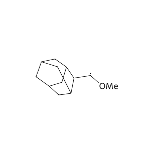 CO[CH]C1C2CC3CC(C2)CC1C3